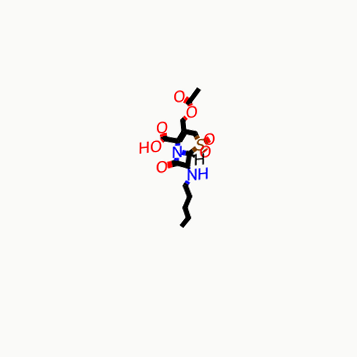 CCCCCN[C@H]1C(=O)N2C(C(=O)O)=C(COC(C)=O)CS(=O)(=O)[C@H]12